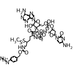 CSSC(CCC(N)C(=O)O[C@H]1[C@@H](O)[C@H](n2cnc3c(N)ncnc32)O[C@@H]1COP(=O)(O)O[C@H]1C[C@H](n2ccc(N)nc2=O)O[C@@H]1COP(=O)(O)O)CNC(=O)OCc1ccc(N=[N+]=[N-])cc1